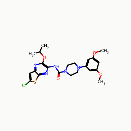 COc1cc(OC)cc(N2CCN(C(=O)Nc3nc4sc(Cl)cc4nc3OC(C)C)CC2)c1